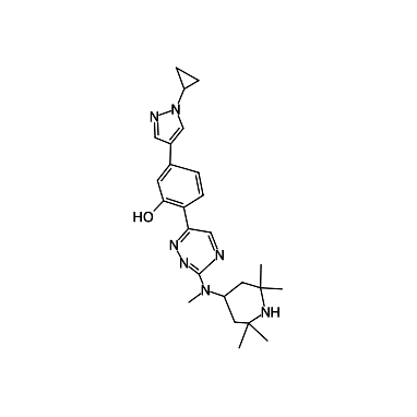 CN(c1ncc(-c2ccc(-c3cnn(C4CC4)c3)cc2O)nn1)C1CC(C)(C)NC(C)(C)C1